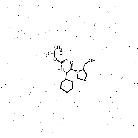 CC(C)(C)OC(=O)N[C@H](C(=O)N1CCC[C@H]1CO)C1CCCCC1